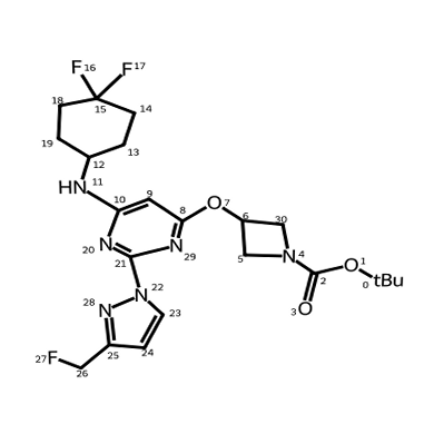 CC(C)(C)OC(=O)N1CC(Oc2cc(NC3CCC(F)(F)CC3)nc(-n3ccc(CF)n3)n2)C1